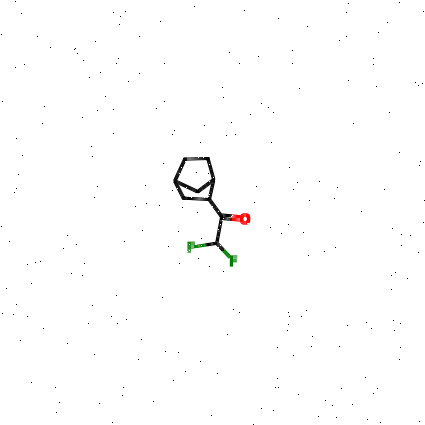 O=C(C(F)F)C1CC2CCC1C2